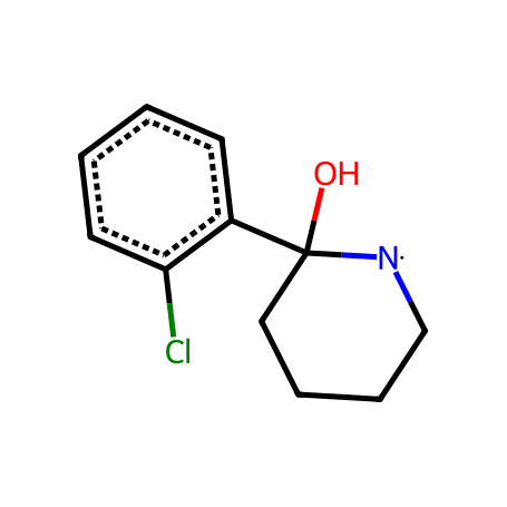 OC1(c2ccccc2Cl)CCCC[N]1